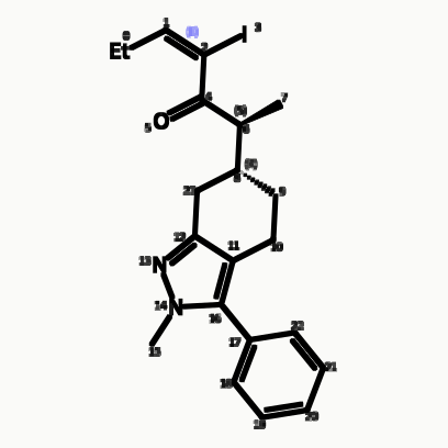 CC/C=C(/I)C(=O)[C@@H](C)[C@@H]1CCc2c(nn(C)c2-c2ccccc2)C1